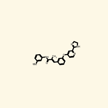 C/C(=C\c1cccc(Oc2ccnc(C3=NCCN3)c2)c1)C(=O)Nc1cccc(C(C)(C)C)c1